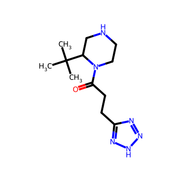 CC(C)(C)C1CNCCN1C(=O)CCc1nn[nH]n1